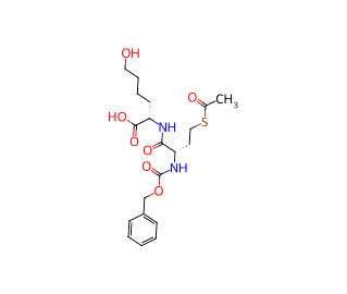 CC(=O)SCC[C@H](NC(=O)OCc1ccccc1)C(=O)N[C@@H](CCCCO)C(=O)O